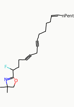 CCCCC/C=C\CCCCC#CCC#CCCC(F)C1=NC(C)(C)CO1